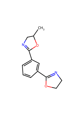 CC1CN=C(c2cccc(C3=NCCO3)c2)O1